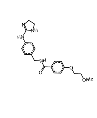 COCCOc1ccc(C(=O)NCc2ccc(NC3=NCCN3)cc2)cc1